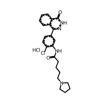 Cl.O=C(CCCCN1CCCC1)Nc1cc(-c2n[nH]c(=O)c3ccccc23)ccc1Cl